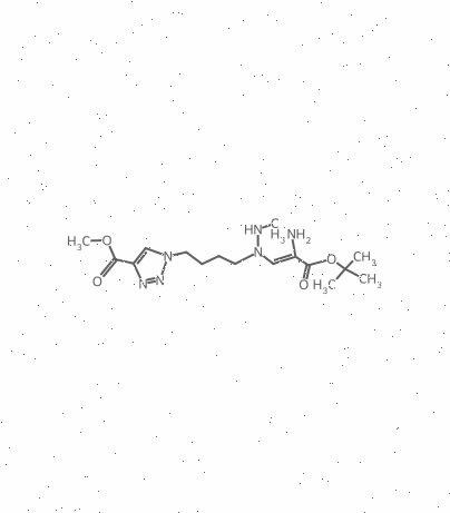 CNN(/C=C(\N)C(=O)OC(C)(C)C)CCCCn1cc(C(=O)OC)nn1